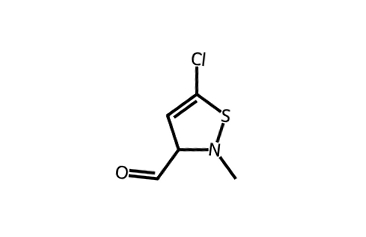 CN1SC(Cl)=CC1C=O